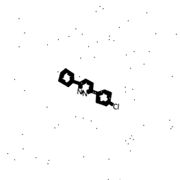 Clc1ccc(-c2ccc(-c3ccccc3)nn2)cc1